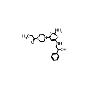 CCC(=O)N1CCN(c2cc(NCC(O)c3ccccc3)nc(N)n2)CC1